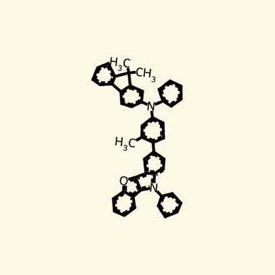 Cc1cc(N(c2ccccc2)c2ccc3c(c2)C(C)(C)c2ccccc2-3)ccc1-c1ccc2c(c1)c1oc3ccccc3c1n2-c1ccccc1